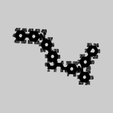 C/C=C\C(=C/Cc1ccc(N(c2ccccc2)c2ccc(C3=CCCC=C3)cc2)cc1)c1ccc(-c2ccc(N(C)c3ccc(-c4ccccc4)cc3)cc2)cc1